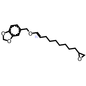 C(=C\OCc1ccc2c(c1)OCO2)/CCCCCCCC1CO1